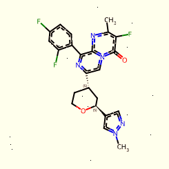 Cc1nc2c(-c3ccc(F)cc3F)nc([C@H]3CCO[C@H](c4cnn(C)c4)C3)cn2c(=O)c1F